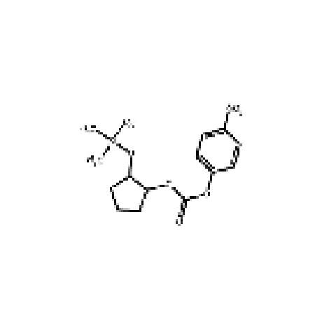 CC(C)(C)[Si](C)(C)OC1CCCC1OC(=O)Oc1ccc([N+](=O)[O-])cc1